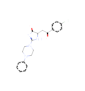 O=C(CC1NC(N2CCN(c3ccccc3)CC2)=NC1=O)c1ccc(Cl)cc1